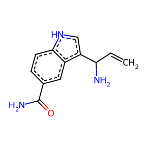 C=CC(N)c1c[nH]c2ccc(C(N)=O)cc12